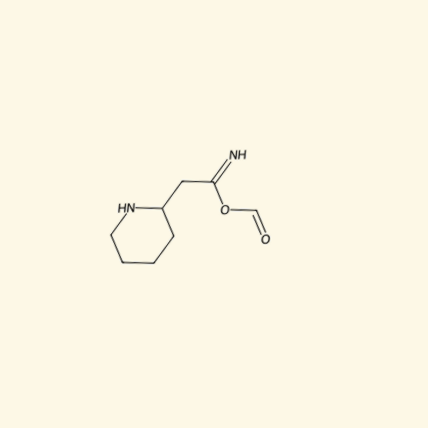 N=C(CC1CCCCN1)OC=O